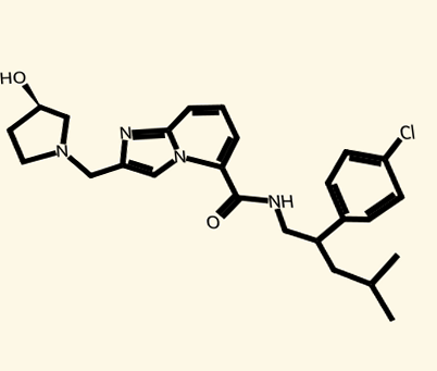 CC(C)CC(CNC(=O)c1cccc2nc(CN3CC[C@@H](O)C3)cn12)c1ccc(Cl)cc1